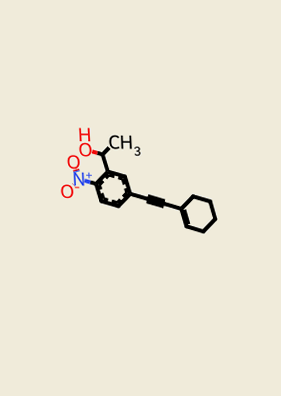 CC(O)c1cc(C#CC2=CCCCC2)ccc1[N+](=O)[O-]